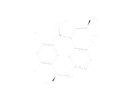 C[C@H](Nc1ncc(F)c(N2C(=O)OC[C@@H]2[C@@H](C)O)n1)c1ccc(Br)cc1F